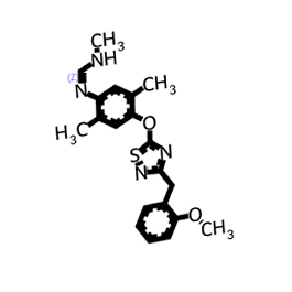 CN/C=N\c1cc(C)c(Oc2nc(Cc3ccccc3OC)ns2)cc1C